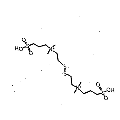 C[N+](C)(CCCS(=O)(=O)O)CCSSCC[N+](C)(C)CCCS(=O)(=O)O